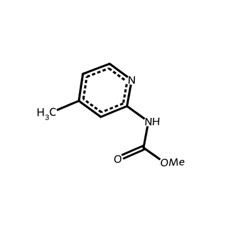 COC(=O)Nc1cc(C)ccn1